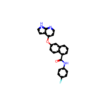 O=C(Nc1ccc(F)cc1)c1cccc2cc(Oc3ccnc4[nH]ccc34)ccc12